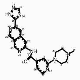 CN1CCN(c2cc(C(=O)Nc3cc4cc(-c5nncs5)ncc4cn3)ccn2)CC1